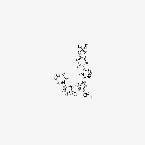 CC1=CN(c2nc(-c3ccc(OC(F)(F)F)cc3)no2)NN1Cc1cnc(N2CCOCC2)s1